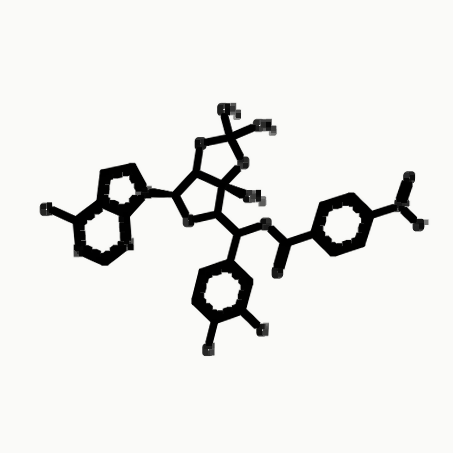 CC1(C)OC2[C@H](n3ccc4c(Cl)ncnc43)OC(C(OC(=O)c3ccc([N+](=O)[O-])cc3)c3ccc(Cl)c(Cl)c3)[C@@]2(C)O1